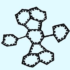 c1ccc(-c2c3c4cccc5cccc(c3c(-c3ccccc3)c3c6cccc7cccc(c23)c76)c54)cc1